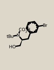 CC(C)(C)N(C(=O)O)[C@H](CO)Cc1cccc(Br)c1